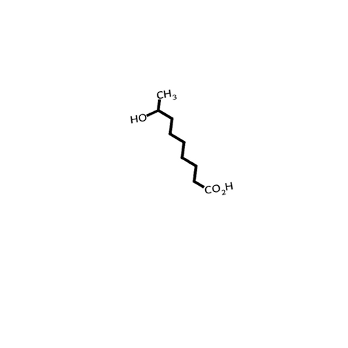 CC(O)CCCCCCC(=O)O